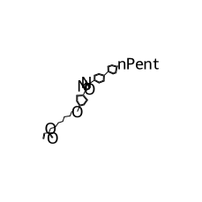 C=CC(=O)OCCCCCCOc1ccc(-c2nnc(-c3ccc(-c4ccc(CCCCC)cc4)cc3)o2)cc1